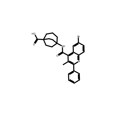 Cc1c(-c2ccccc2)nc2ccc(Br)cc2c1C(=O)NC12CCCC(C(=O)O)(CC1)CC2